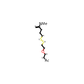 C=C(CCCSSCCOCCC(C)=O)NC